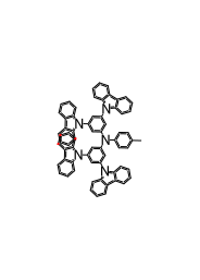 Cc1ccc(N(c2cc(-n3c4ccccc4c4ccccc43)cc(-n3c4ccccc4c4ccccc43)c2)c2cc(-n3c4ccccc4c4ccccc43)cc(-n3c4ccccc4c4ccccc43)c2)cc1